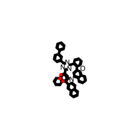 c1ccc(-c2cccc(-c3nc(-c4ccccc4)nc(-c4cccc5oc6c7ccccc7c(-n7c8cc9ccccc9cc8c8c9ccccc9ccc87)cc6c45)n3)c2)cc1